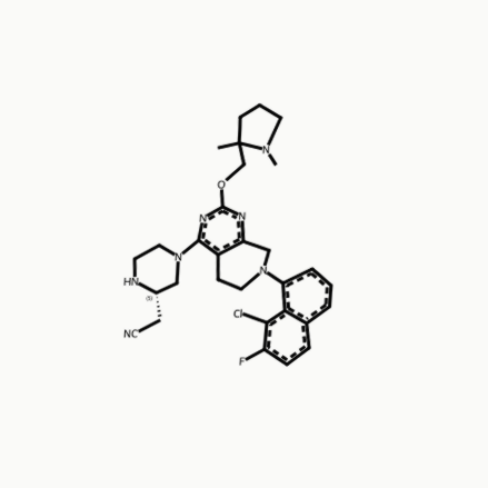 CN1CCCC1(C)COc1nc2c(c(N3CCN[C@@H](CC#N)C3)n1)CCN(c1cccc3ccc(F)c(Cl)c13)C2